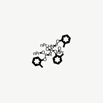 CCCOP(N=P(NP(OCCC)Oc1ccccc1C)(OCCC)Oc1ccccc1C)Oc1ccccc1C